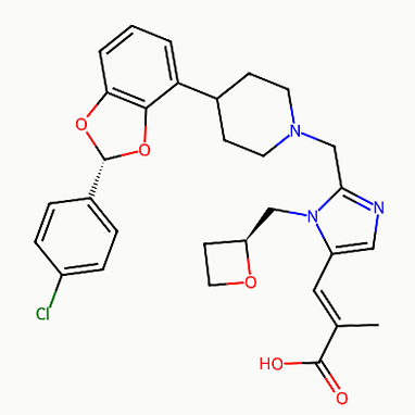 C/C(=C\c1cnc(CN2CCC(c3cccc4c3O[C@H](c3ccc(Cl)cc3)O4)CC2)n1C[C@@H]1CCO1)C(=O)O